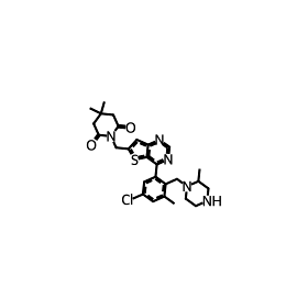 Cc1cc(Cl)cc(-c2ncnc3cc(CN4C(=O)CC(C)(C)CC4=O)sc23)c1CN1CCNCC1C